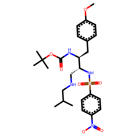 COc1ccc(C[C@H](NC(=O)OC(C)(C)C)[C@@H](CNCC(C)C)NS(=O)(=O)c2ccc([N+](=O)[O-])cc2)cc1